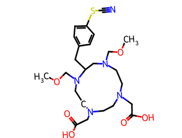 COCN1CCN(CC(=O)O)CCN(CC(=O)O)CCN(COC)C(Cc2ccc(SC#N)cc2)C1